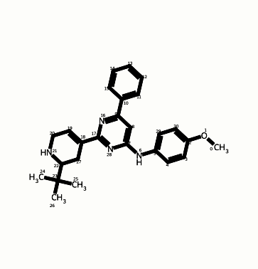 COc1ccc(Nc2cc(-c3ccccc3)nc(C3=CCNC(C(C)(C)C)C3)n2)cc1